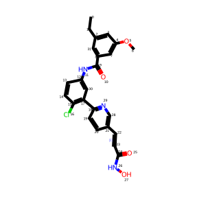 CCc1cc(OC)cc(C(=O)Nc2ccc(Cl)c(-c3ccc(/C=C/C(=O)NO)cn3)c2)c1